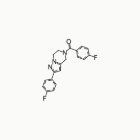 O=C(c1ccc(F)cc1)N1CCn2nc(-c3ccc(F)cc3)cc2C1